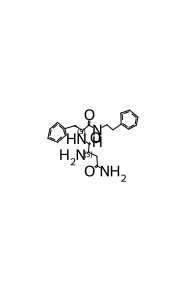 NC(=O)C[C@H](N)C(=O)N[C@@H](Cc1ccccc1)C(=O)NCCc1ccccc1